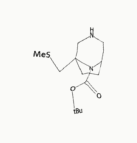 CSCC12CCC(CNC1)N2C(=O)OC(C)(C)C